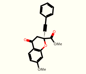 COC(=O)[C@]1(C#Cc2ccccc2)CC(=O)c2ccc(OC)cc2O1